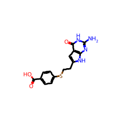 Nc1nc2[nH]c(CCSc3ccc(C(=O)O)cc3)cc2c(=O)[nH]1